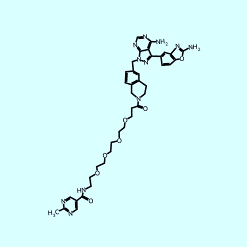 Cc1ncc(C(=O)NCCOCCOCCOCCOCCC(=O)N2CCc3cc(Cn4nc(-c5ccc6oc(N)nc6c5)c5c(N)ncnc54)ccc3C2)cn1